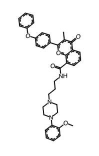 COc1ccccc1N1CCN(CCCNC(=O)c2cccc3c(=O)c(C)c(-c4ccc(Oc5ccccc5)cc4)oc23)CC1